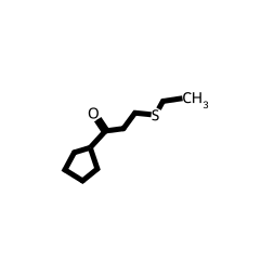 CCSCCC(=O)C1CCCC1